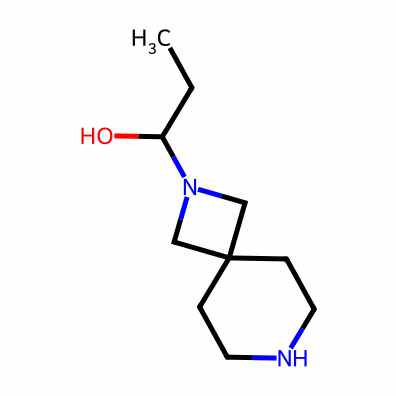 CCC(O)N1CC2(CCNCC2)C1